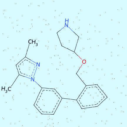 Cc1cc(C)n(-c2cccc(-c3ccccc3COC3CCNC3)c2)n1